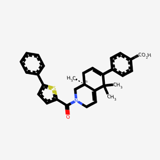 CC1(C)C(c2ccc(C(=O)O)cc2)=CC[C@]2(C)CN(C(=O)c3ccc(-c4ccccc4)s3)CC=C12